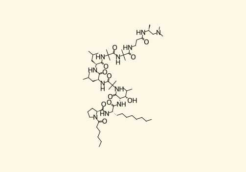 CCCCCCCC[C@H](NC(=O)[C@@H]1CCCN1C(=O)CCCCC)C(=O)N[C@H](C(=O)NC(C)(C)C(=O)N[C@@H](CC(C)C)C(=O)N[C@@H](CC(C)C)C(=O)NC(C)(C)C(=O)NC(C)(C)C(=O)NCCC(=O)N[C@@H](C)CN(C)C)[C@H](O)C(C)C